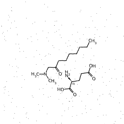 CCCCCCCC(=O)CN(C)C.N[C@@H](CCC(=O)O)C(=O)O